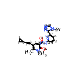 Cc1c(C#CC2CC2)cc(C(=O)Nc2cccc(-c3nncn3C(C)C)n2)c(=O)n1C